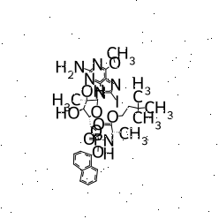 COc1nc(N)nc2c1nc(I)n2[C@@H]1O[C@H](COP(=O)(N[C@@H](C)C(=O)OCCC(C)(C)C)Oc2cccc3ccccc23)[C@@H](O)[C@@]1(C)O